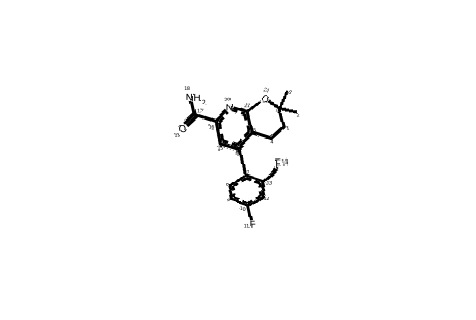 CC1(C)CCc2c(-c3ccc(F)cc3F)cc(C(N)=O)nc2O1